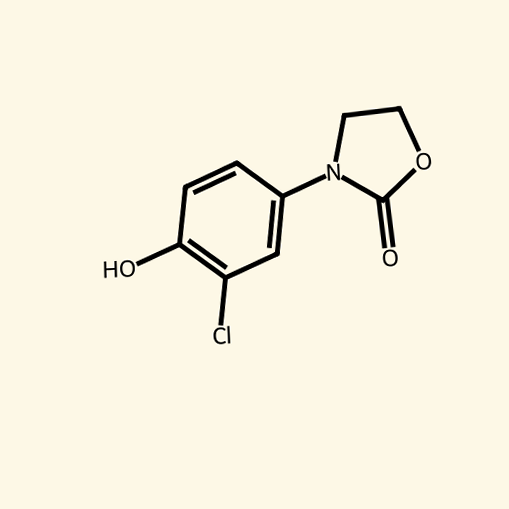 O=C1OCCN1c1ccc(O)c(Cl)c1